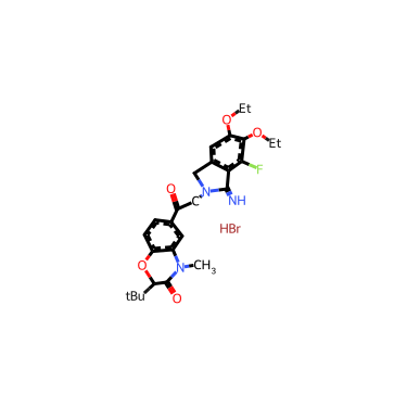 Br.CCOc1cc2c(c(F)c1OCC)C(=N)N(CC(=O)c1ccc3c(c1)N(C)C(=O)C(C(C)(C)C)O3)C2